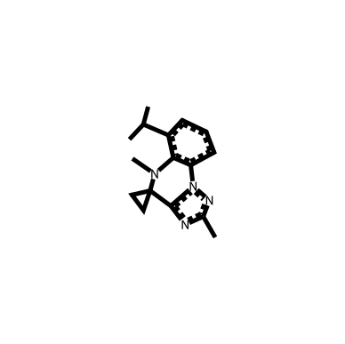 Cc1nc2n(n1)-c1cccc(C(C)C)c1N(C)C21CC1